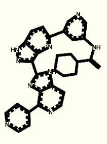 C=C(Nc1cncc(-c2ccc3[nH]nc(-c4nc5c(-c6ccncc6)nccc5[nH]4)c3n2)c1)C1CCCCC1